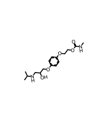 CNC(=O)OCCOc1ccc(OCC(O)CNC(C)C)cc1